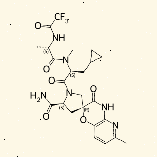 Cc1ccc2c(n1)NC(=O)[C@]1(C[C@@H](C(N)=O)N(C(=O)[C@H](CC3CC3)N(C)C(=O)[C@H](C)NC(=O)C(F)(F)F)C1)O2